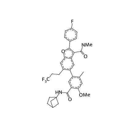 CNC(=O)c1c(-c2ccc(F)cc2)oc2cc(CCC(F)(F)F)c(-c3cc(C(=O)NC45CCC(C4)C5)c(OC)cc3C)cc12